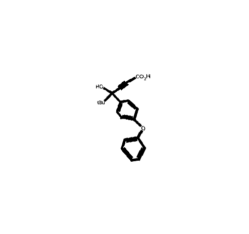 CC(C)(C)C(O)(C#CC(=O)O)c1ccc(Oc2ccccc2)cc1